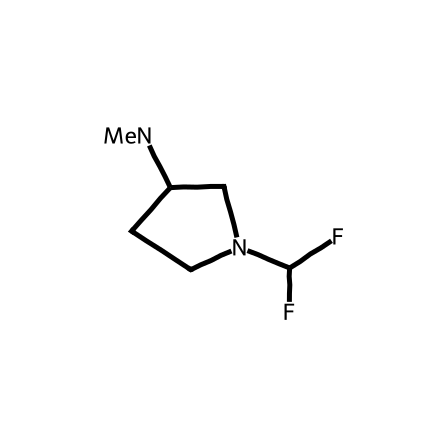 CNC1CCN(C(F)F)C1